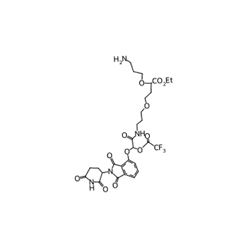 CCOC(=O)C(CCOCCCNC(=O)C(OC(=O)C(F)(F)F)Oc1cccc2c1C(=O)N(C1CCC(=O)NC1=O)C2=O)OCCCN